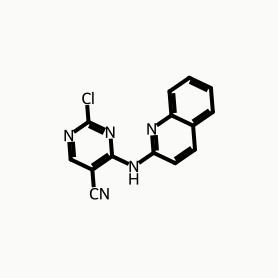 N#Cc1cnc(Cl)nc1Nc1ccc2ccccc2n1